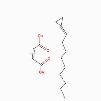 CCCCCCCCC=C1CC1.O=C(O)/C=C\C(=O)O